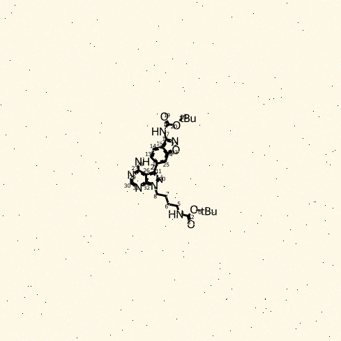 CC(C)(C)OC(=O)NCCCCn1nc(-c2ccc3c(NC(=O)OC(C)(C)C)noc3c2)c2c(N)ncnc21